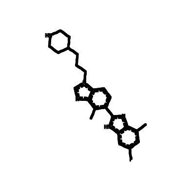 Cc1cc(F)cc2[nH]c(-c3ccc4c(ncn4CCCC4CCNCC4)c3C)nc12